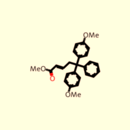 COC(=O)C=CCC(c1ccccc1)(c1ccc(OC)cc1)c1ccc(OC)cc1